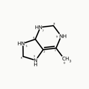 CC1=C2NCNC2NCN1